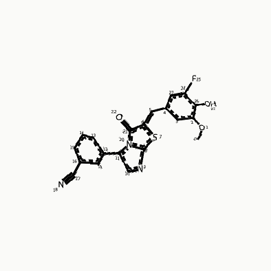 COc1cc(/C=c2\sc3ncc(-c4cccc(C#N)c4)n3c2=O)cc(F)c1O